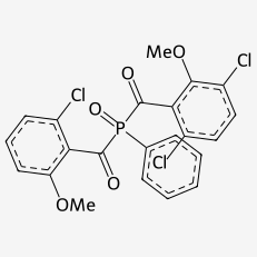 COc1cccc(Cl)c1C(=O)P(=O)(C(=O)c1c(Cl)ccc(Cl)c1OC)c1ccccc1